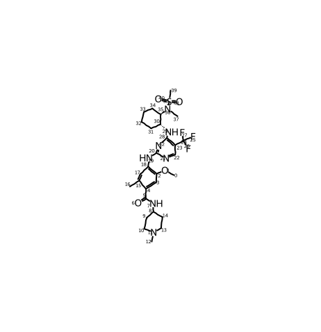 COc1cc(C(=O)NC2CCN(C)CC2)c(C)cc1Nc1ncc(C(F)(F)F)c(N[C@@H]2CCCC[C@H]2N(C)S(C)(=O)=O)n1